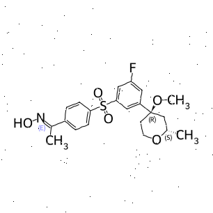 CO[C@]1(c2cc(F)cc(S(=O)(=O)c3ccc(/C(C)=N/O)cc3)c2)CCO[C@@H](C)C1